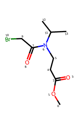 COC(=O)CCN(C(=O)CBr)C(C)C